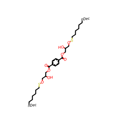 CCCCCCCCCCCCCCCCSOCC(O)COC(=O)c1ccc(C(=O)OCC(O)COSCCCCCCCCCCCCCCCC)cc1